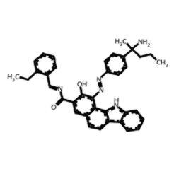 CCCC(C)(N)c1ccc(N=Nc2c(O)c(C(=O)/N=C/c3ccccc3CC)cc3ccc4c5ccccc5[nH]c4c23)cc1